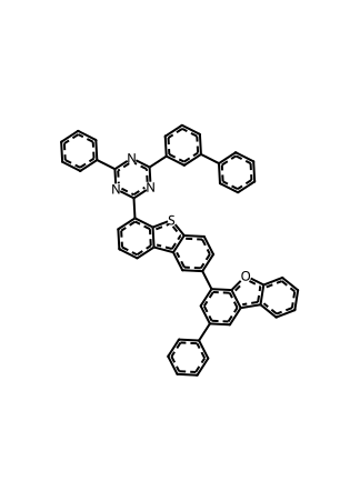 c1ccc(-c2cccc(-c3nc(-c4ccccc4)nc(-c4cccc5c4sc4ccc(-c6cc(-c7ccccc7)cc7c6oc6ccccc67)cc45)n3)c2)cc1